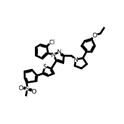 CCOc1ccc(C2CCCN2Cc2cc(-c3ccc(-c4cccc(S(C)(=O)=O)c4)s3)n(-c3ccccc3Cl)n2)cc1